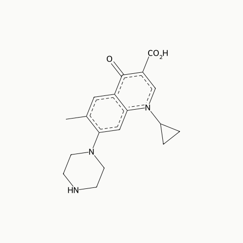 Cc1cc2c(=O)c(C(=O)O)cn(C3CC3)c2cc1N1CCNCC1